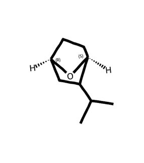 CC(C)C1C[C@H]2CC[C@@H]1O2